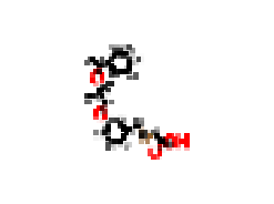 C=C(O/C(C)=C(\C)COc1cccc(CSCC(=O)O)c1)c1ccccc1